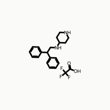 O=C(O)C(F)(F)F.c1ccc(C(CNC2CCNCC2)c2ccccc2)cc1